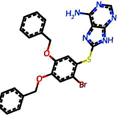 Nc1ncnc2[nH]c(Sc3cc(OCc4ccccc4)c(OCc4ccccc4)cc3Br)nc12